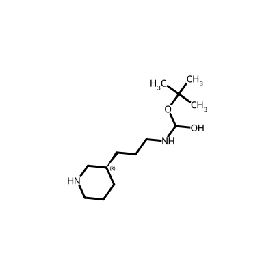 CC(C)(C)OC(O)NCCC[C@H]1CCCNC1